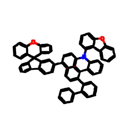 c1ccc(-c2ccccc2-c2ccccc2-c2ccccc2N(c2ccc(-c3ccc4c(c3)C3(c5ccccc5Oc5ccccc53)c3ccccc3-4)cc2)c2cccc3oc4ccccc4c23)cc1